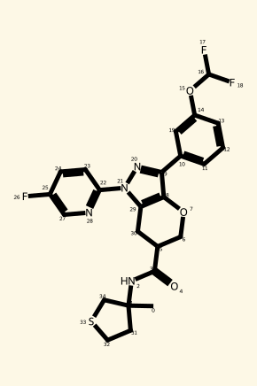 CC1(NC(=O)C2COc3c(-c4cccc(OC(F)F)c4)nn(-c4ccc(F)cn4)c3C2)CCSC1